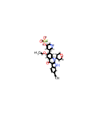 C#Cc1ccc2c(c1)[nH]c1c2c(=O)c2cc(OCC)c(-c3cncc(OS(=O)(=O)F)c3)cc2n1C1CCOCC1